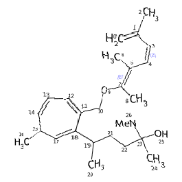 C=C(C)/C=C\C(C)=C(/C)OCC1=CC=CC(C)C=C1C(C)CCC(C)(O)NC